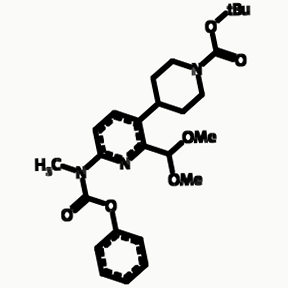 COC(OC)c1nc(N(C)C(=O)Oc2ccccc2)ccc1C1CCN(C(=O)OC(C)(C)C)CC1